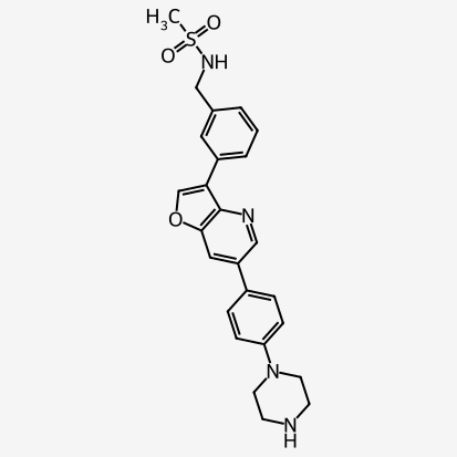 CS(=O)(=O)NCc1cccc(-c2coc3cc(-c4ccc(N5CCNCC5)cc4)cnc23)c1